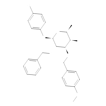 COc1ccc(CO[C@@H]2[C@H](O)[C@H](C)O[C@H](Sc3ccc(Cl)cc3)[C@H]2OCc2ccccc2)cc1